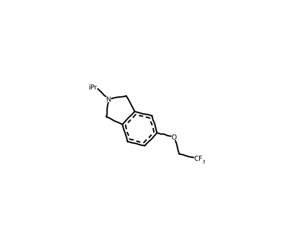 CC(C)N1Cc2ccc(OCC(F)(F)F)cc2C1